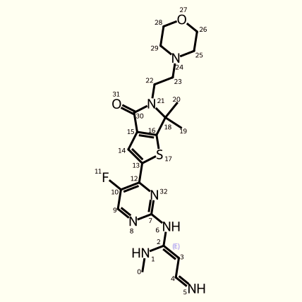 CN/C(=C\C=N)Nc1ncc(F)c(-c2cc3c(s2)C(C)(C)N(CCN2CCOCC2)C3=O)n1